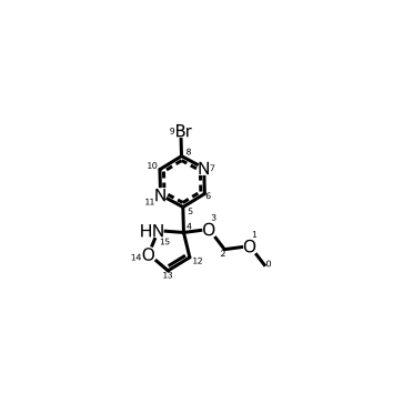 COCOC1(c2cnc(Br)cn2)C=CON1